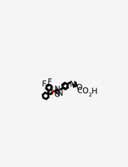 O=C(O)OC1CN(Cc2ccc(-c3noc(/C=C/C4(c5ccc(F)c(F)c5)CCCCC4)n3)cc2)C1